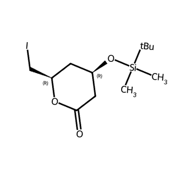 CC(C)(C)[Si](C)(C)O[C@H]1CC(=O)O[C@@H](CI)C1